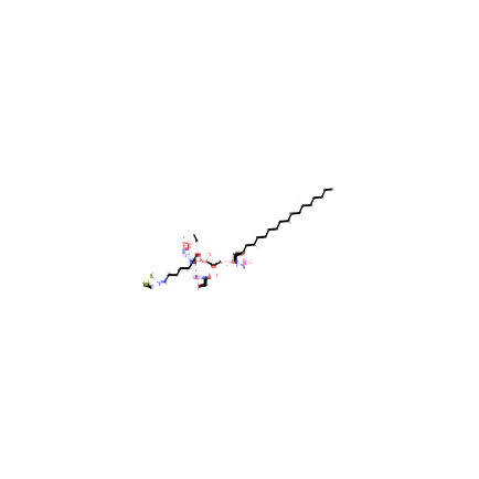 CCCCCCCCCCCCCCCCc1cc(OCC(COC(CCCCC[n+]2ccsc2)(N=C=O)C(=O)OCC)Oc2ccon2)no1